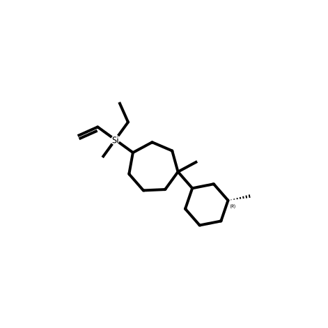 C=C[Si](C)(CC)C1CCCC(C)(C2CCC[C@@H](C)C2)CC1